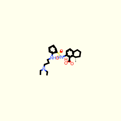 CCN(CC)CCCNc1ccccc1S(=O)(=O)Nc1ccc2c(c1C(=O)O)[C@@H](C)CCC2